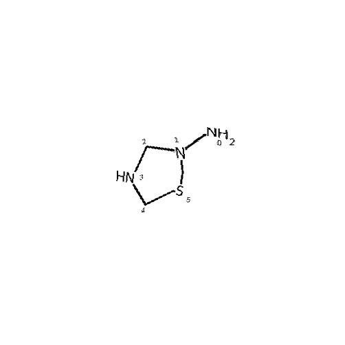 NN1CNCS1